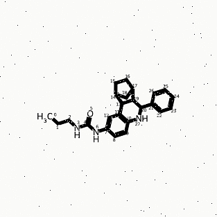 CCCNC(=O)Nc1ccc2c(c1)C1C3CCC(C3)C1C(c1ccccc1)N2